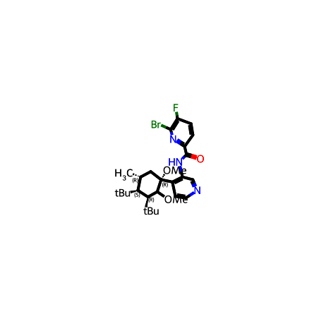 COC1[C@@H](C(C)(C)C)[C@@H](C(C)(C)C)[C@H](C)C[C@@]1(OC)c1ccncc1NC(=O)c1ccc(F)c(Br)n1